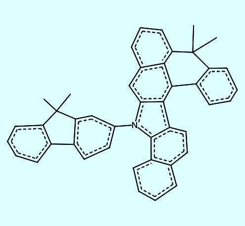 CC1(C)c2ccccc2-c2ccc(-n3c4cc5cccc6c5c(c4c4ccc5ccccc5c43)-c3ccccc3C6(C)C)cc21